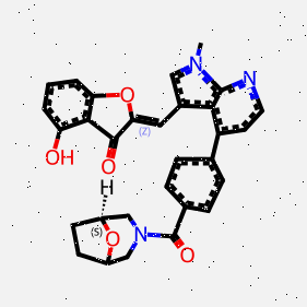 Cn1cc(/C=C2\Oc3cccc(O)c3C2=O)c2c(-c3ccc(C(=O)N4CC5CC[C@@H](C4)O5)cc3)ccnc21